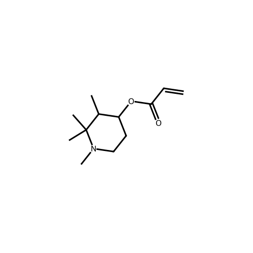 C=CC(=O)OC1CCN(C)C(C)(C)C1C